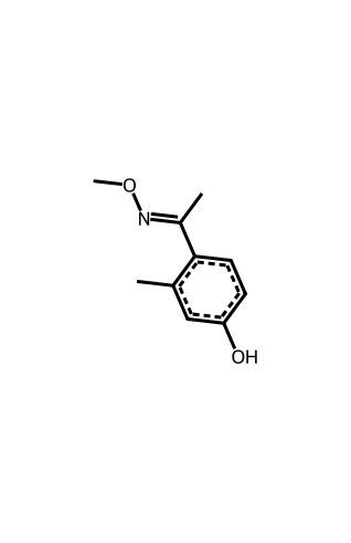 CON=C(C)c1ccc(O)cc1C